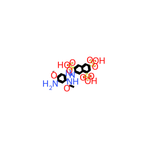 COc1cc(/N=N/c2cc3c(S(=O)(=O)O)cc(S(=O)(=O)O)cc3cc2S(=O)(=O)O)c(NC(C)=O)cc1N